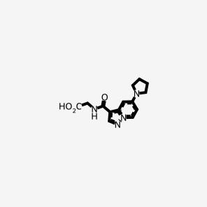 O=C(O)CNC(=O)c1cnn2ccc(N3CCCC3)cc12